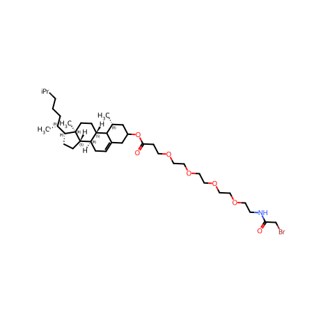 CC(C)CCC[C@@H](C)[C@H]1CC[C@H]2[C@@H]3CC=C4CC(OC(=O)CCOCCOCCOCCOCCNC(=O)CBr)C[C@@H](C)C4[C@H]3CC[C@]12C